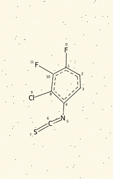 Fc1ccc(N=C=S)c(Cl)c1F